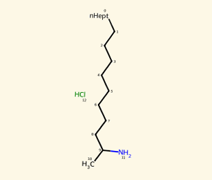 CCCCCCCCCCCCCCCC(C)N.Cl